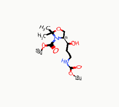 CC(C)(C)OC(=O)NCCC(O)[C@@H]1COC(C)(C)N1C(=O)OC(C)(C)C